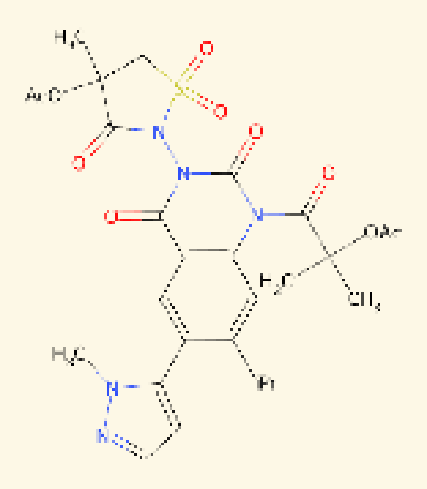 CC(=O)OC(C)(C)C(=O)n1c(=O)n(N2C(=O)C(C)(OC(C)=O)CS2(=O)=O)c(=O)c2cc(-c3ccnn3C)c(C(C)C)cc21